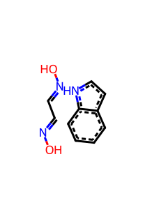 ON=CC=NO.c1ccc2[nH]ccc2c1